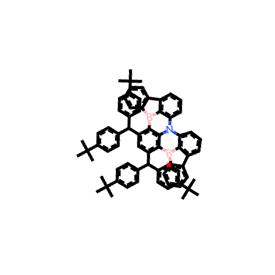 CC(C)(C)c1ccc(C(c2ccc(C(C)(C)C)cc2)c2cc(C(c3ccc(C(C)(C)C)cc3)c3ccc(C(C)(C)C)cc3)c3c4c2B2c5ccccc5-c5cccc(c52)N4c2cccc4c2B3c2ccccc2-4)cc1